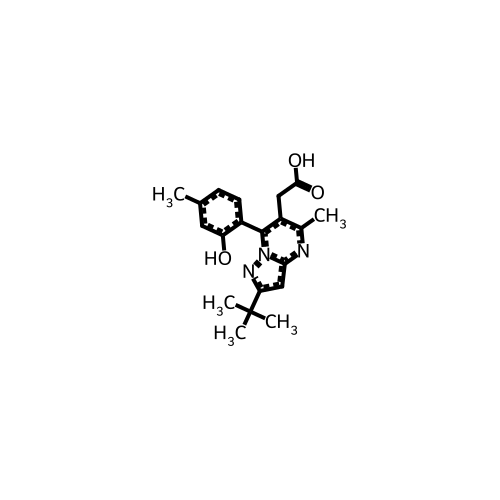 Cc1ccc(-c2c(CC(=O)O)c(C)nc3cc(C(C)(C)C)nn23)c(O)c1